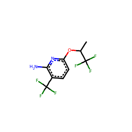 CC(Oc1ccc(C(F)(F)F)c(N)n1)C(F)(F)F